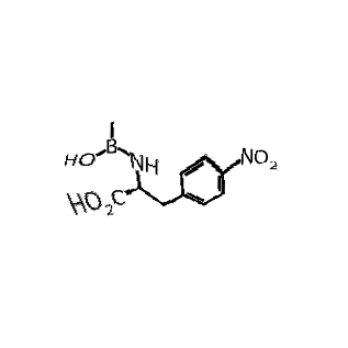 CB(O)N[C@@H](Cc1ccc([N+](=O)[O-])cc1)C(=O)O